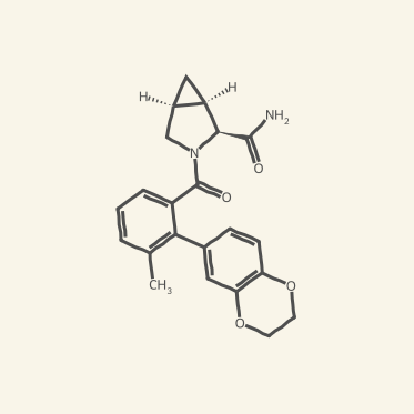 Cc1cccc(C(=O)N2C[C@H]3C[C@H]3[C@H]2C(N)=O)c1-c1ccc2c(c1)OCCO2